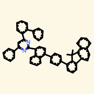 CC1(C)c2c(-c3ccc(-c4ccc(-c5nc(-c6ccccc6)cc(-c6ccccc6-c6ccccc6)n5)c5ccccc45)cc3)cccc2-c2ccc3ccccc3c21